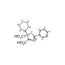 C=C(C(=O)O)C(CC(=O)c1ccccc1)(C(=O)O)C1CCCCC1